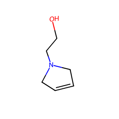 OCCN1CC=CC1